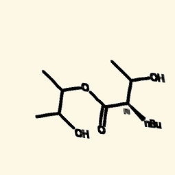 CCCC[C@@H](C(=O)OC(C)C(C)O)C(C)O